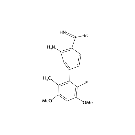 CCC(=N)c1ccc(-c2c(C)c(OC)cc(OC)c2F)cc1N